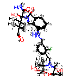 BC(B)(C=O)C(B)(B)C(O)(C(=O)NC)N1Cc2c(NCc3cccc(CN4C(B)(B)C(B)(O)OC(B)(O)C4(B)O)c3F)cccc2C1=O